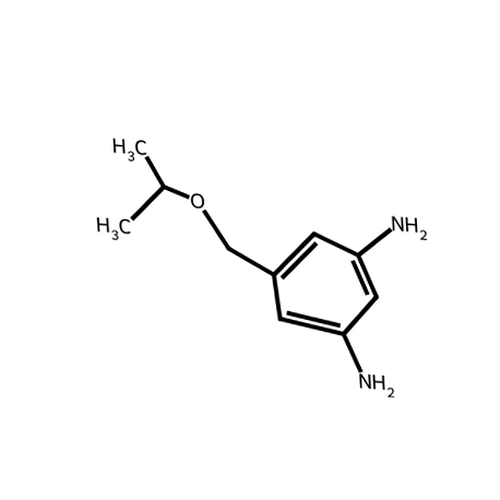 CC(C)OCc1cc(N)cc(N)c1